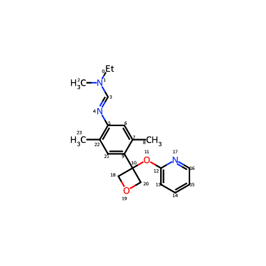 CCN(C)C=Nc1cc(C)c(C2(Oc3ccccn3)COC2)cc1C